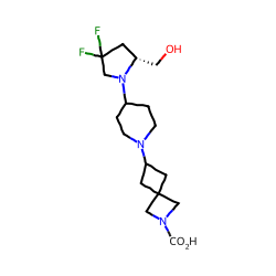 O=C(O)N1CC2(CC(N3CCC(N4CC(F)(F)C[C@@H]4CO)CC3)C2)C1